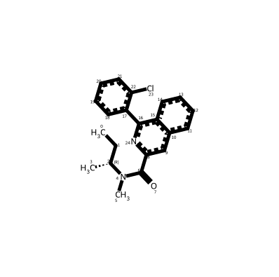 CC[C@@H](C)N(C)C(=O)c1cc2ccccc2c(-c2ccccc2Cl)n1